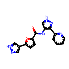 O=C(Nc1c[nH]nc1-c1ccccn1)c1ccc(-c2cn[nH]c2)o1